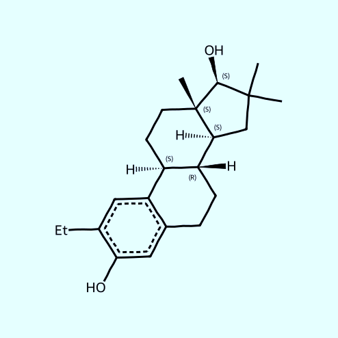 CCc1cc2c(cc1O)CC[C@@H]1[C@@H]2CC[C@@]2(C)[C@H]1CC(C)(C)[C@@H]2O